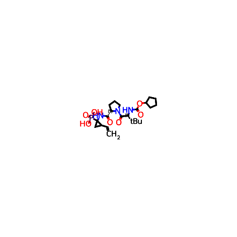 C=CC1CC1(NC(=O)[C@@H]1CCCN1C(=O)[C@@H](NC(=O)OC1CCCC1)C(C)(C)C)P(=O)(O)O